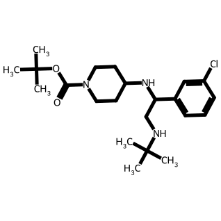 CC(C)(C)NCC(NC1CCN(C(=O)OC(C)(C)C)CC1)c1cccc(Cl)c1